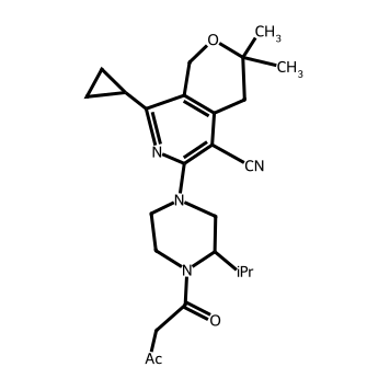 CC(=O)CC(=O)N1CCN(c2nc(C3CC3)c3c(c2C#N)CC(C)(C)OC3)CC1C(C)C